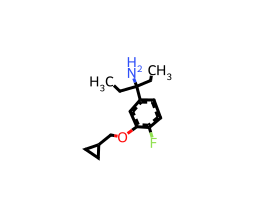 CCC(N)(CC)c1ccc(F)c(OCC2CC2)c1